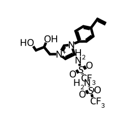 C=Cc1ccc(-n2cc[n+](CC(O)CO)c2)cc1.NS(=O)(=O)C(F)(F)F.NS(=O)(=O)C(F)(F)F